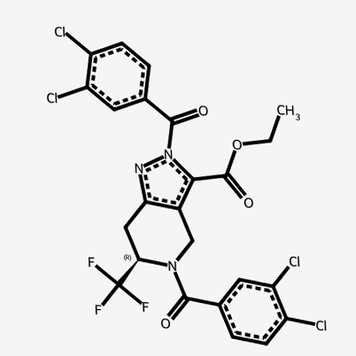 CCOC(=O)c1c2c(nn1C(=O)c1ccc(Cl)c(Cl)c1)C[C@H](C(F)(F)F)N(C(=O)c1ccc(Cl)c(Cl)c1)C2